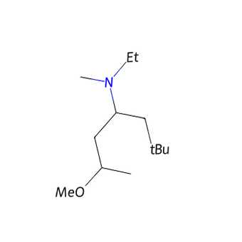 CCN(C)C(CC(C)OC)CC(C)(C)C